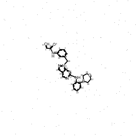 C=CC(=O)Nc1cccc(Cn2ncc3cnc(Nc4ccccc4N4CCOCC4)nc32)c1